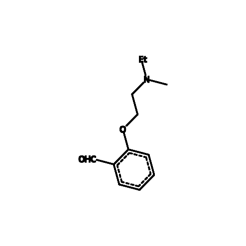 CCN(C)CCOc1ccccc1C=O